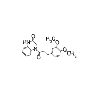 COc1ccc(CCC(=O)N2CC(=O)Nc3ccccc32)cc1OC